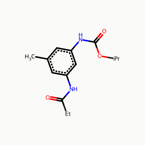 CCC(=O)Nc1cc(C)cc(NC(=O)OC(C)C)c1